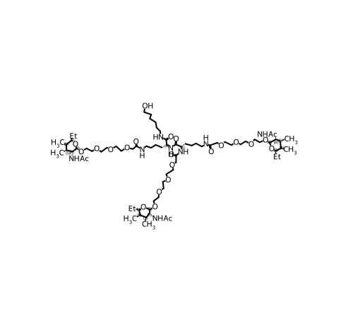 CC[C@H]1O[C@@H](OCCOCCOCCOCC(=O)NCCCC[C@H](NC(=O)COCCOCCOCCO[C@@H]2O[C@H](CC)[C@H](C)[C@H](C)[C@H]2NC(C)=O)C(=O)N[C@H](CCCCNC(=O)COCCOCCOCCO[C@@H]2O[C@H](CC)[C@H](C)[C@H](C)[C@H]2NC(C)=O)C(=O)NCCCCCCO)[C@H](NC(C)=O)[C@@H](C)[C@H]1C